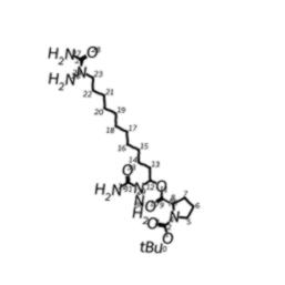 CC(C)(C)OC(=O)N1CCC[C@@H]1C(=O)OC(CCCCCCCCCCCN(N)C(N)=O)N(N)C(N)=O